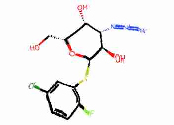 [N-]=[N+]=N[C@@H]1[C@@H](O)[C@@H](Sc2cc(Cl)ccc2F)O[C@H](CO)[C@@H]1O